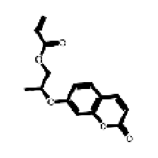 C=CC(=O)OCC(C)Oc1ccc2ccc(=O)oc2c1